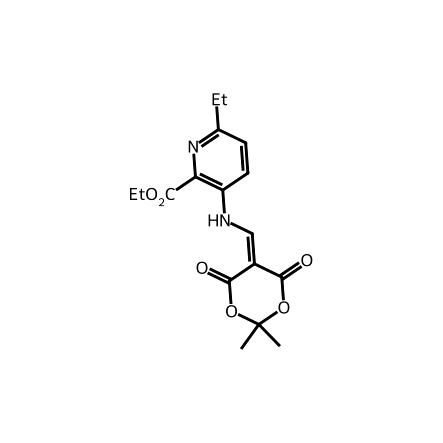 CCOC(=O)c1nc(CC)ccc1NC=C1C(=O)OC(C)(C)OC1=O